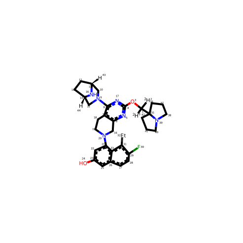 [2H]C([2H])(Oc1nc2c(c(N3C[C@H]4CC[C@@H](C3)N4)n1)CCN(c1cc(O)cc3ccc(F)c(CC)c13)C2)C12CCCN1CCC2